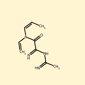 C=CN(/C=C\C)C(=O)C(=N)NC(C)=N